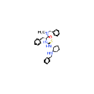 CN(Cc1ccccc1)C(=O)[C@H](Cc1ccccc1)NC(=S)N[C@@H]1CCCC[C@H]1NCc1ccccc1